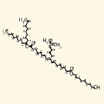 CCCCCCCCCOC(=O)CCCCCCCN(CCCCCCCC(=O)OC(CCCCCCCC)CCCCCCCC)CCCCN(C)C